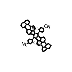 N#Cc1ccc(-c2c3c4ccc5c6cccc7cccc(c8ccc(c3c(-c3ccc(C#N)cc3C#N)c3c9ccc%10c%11cccc%12cccc(c%13ccc(c23)c9c%13%10)c%12%11)c4c58)c76)c(C#N)c1